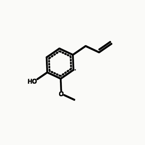 C=CCc1[c]c(OC)c(O)cc1